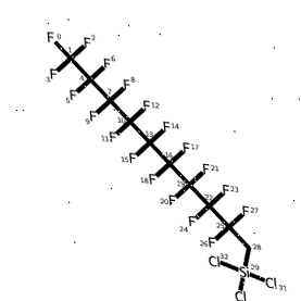 FC(F)(F)C(F)(F)C(F)(F)C(F)(F)C(F)(F)C(F)(F)C(F)(F)C(F)(F)C(F)(F)C[Si](Cl)(Cl)Cl